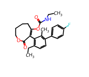 CCNC(=O)O/C1=C(\c2c(CC)ccc(-c3ccc(F)cc3)c2C)C(=O)OCCCC1